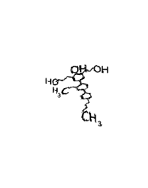 CCCCCc1ccc(-c2ccc(-c3cc(CCCO)c(O)c(CCCO)c3)c(CC)c2)cc1